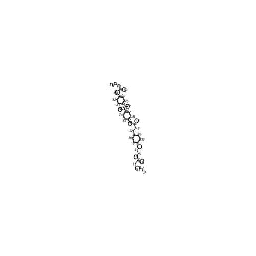 C=CC(=O)OCCOc1ccc(CCC(=O)Oc2ccc(S(=O)(=O)c3ccc(OC(=O)CCC)cc3)cc2)cc1